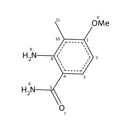 COc1ccc(C(N)=O)c(N)c1C